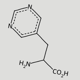 NC(Cc1cncnc1)C(=O)O